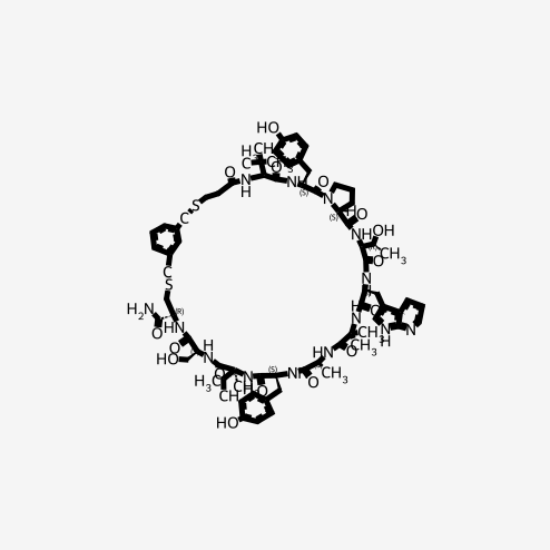 CC(C)[C@]1(C)NC(=O)[C@H](Cc2ccc(O)cc2)NC(=O)[C@H](C)NC(=O)C(C)(C)NC(=O)[C@H](Cc2c[nH]c3ncccc23)NC(=O)C([C@@H](C)O)NC(=O)[C@@H]2CCCN2C(=O)[C@H](Cc2ccc(O)cc2)NC(=O)C(C(C)(C)C)NC(=O)CCSCc2cccc(c2)CSC[C@@H](C(N)=O)NC(=O)[C@H](CO)NC1=O